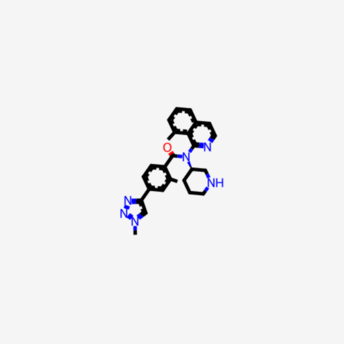 Cc1cc(-c2cn(C)nn2)ccc1C(=O)N(c1nccc2cccc(C)c12)[C@@H]1CCCNC1